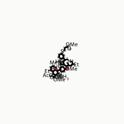 CCC1=C[C@H]2CN(C1)Cc1c([nH]c3ccc(SCCC(=O)OC)cc13)[C@@](C(=O)OC)(C1C=C3C(=CC1OC)N(C)[C@H]1[C@@](O)(C(=O)OC)[C@H](OC(C)=O)C4[C@@H](CC)CCN5CC[C@]31[C@H]45)C2